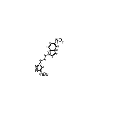 CCCCc1cn(CCCn2ccc3cc([N+](=O)[O-])ccc32)nn1